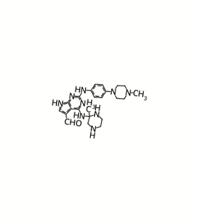 CN1CCN(c2ccc(Nc3nc(NC4(C)CNCCN4)c4c(C=O)c[nH]c4n3)cc2)CC1